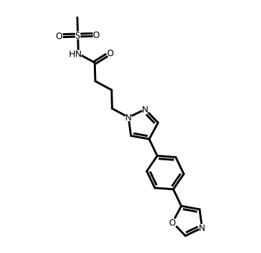 CS(=O)(=O)NC(=O)CCCn1cc(-c2ccc(-c3cnco3)cc2)cn1